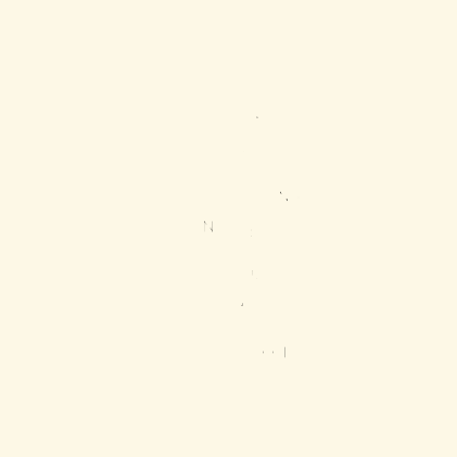 Cn1c(CCO)nc2ccccc21